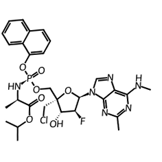 CNc1nc(C)nc2c1ncn2[C@@H]1O[C@](CCl)(CO[P@](=O)(N[C@H](C)C(=O)OC(C)C)Oc2cccc3ccccc23)[C@@H](O)[C@@H]1F